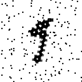 Oc1ccc2c(c1)OC[C@H](c1ccccc1)[C@@H]2c1ccc(CCCCCCCN2CCCC2)cc1